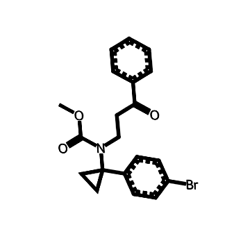 COC(=O)N(CCC(=O)c1ccccc1)C1(c2ccc(Br)cc2)CC1